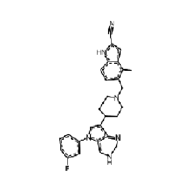 Cc1c(CN2CCC(c3cn(-c4cccc(F)c4)c4c3=NCNC=4)CC2)ccc2[nH]c(C#N)cc12